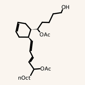 CCCCCCCCC(/C=C/C=C/[C@H]1CC=CC[C@@H]1C(CCCCO)OC(C)=O)OC(C)=O